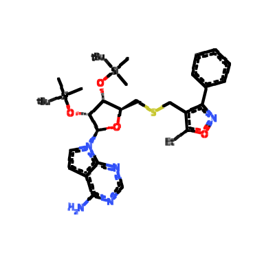 CCc1onc(-c2ccccc2)c1CSC[C@H]1O[C@@H](n2ccc3c(N)ncnc32)[C@H](O[Si](C)(C)C(C)(C)C)[C@@H]1O[Si](C)(C)C(C)(C)C